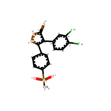 CS(=O)(=O)c1ccc(-c2ssc(=S)c2-c2ccc(F)c(F)c2)cc1